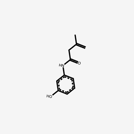 C=C(C)CC(=O)Nc1cccc(O)c1